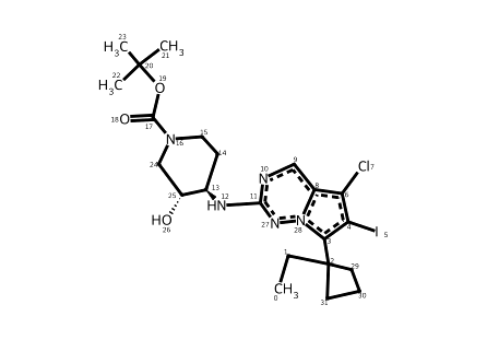 CCC1(c2c(I)c(Cl)c3cnc(N[C@@H]4CCN(C(=O)OC(C)(C)C)C[C@H]4O)nn23)CCC1